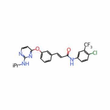 CC(C)Nc1nccc(Oc2cccc(/C=C/C(=O)Nc3ccc(Cl)c(C(F)(F)F)c3)c2)n1